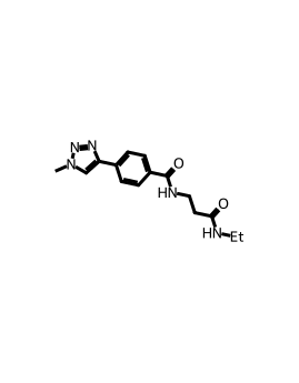 CCNC(=O)CCNC(=O)c1ccc(-c2cn(C)nn2)cc1